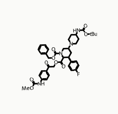 COC(=O)Nc1ccc(C(=O)COC(=O)C2C(c3ccc(F)cc3)CC(N3CCC(NC(=O)OC(C)(C)C)CC3)CN2C(=O)OCc2ccccc2)cc1